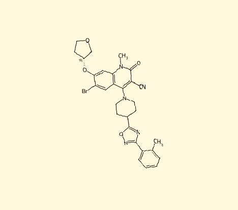 Cc1ccccc1-c1noc(C2CCN(c3c(C#N)c(=O)n(C)c4cc(O[C@@H]5CCOC5)c(Br)cc34)CC2)n1